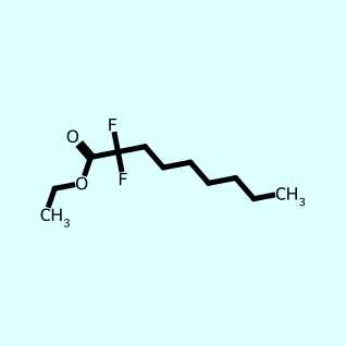 CCCCCCCC(F)(F)C(=O)OCC